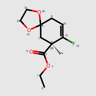 CCOC(=O)[C@@]1(C)CC2(CC=C1F)OCCO2